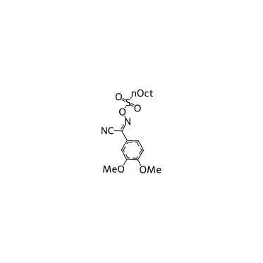 CCCCCCCCS(=O)(=O)O/N=C(\C#N)c1ccc(OC)c(OC)c1